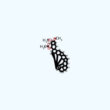 COc1cc2c(cc1OC)C(OC(C)=O)c1c(c3cc4c5c6c(cc7cc8cc9ccc%10cc%11cc1c1c3c5c3c1c%11c1c%10c9c5c8c7c6c3c51)C4)C2